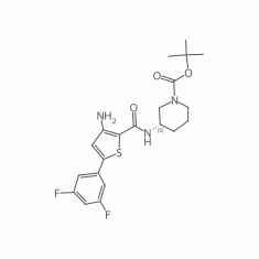 CC(C)(C)OC(=O)N1CCC[C@H](NC(=O)c2sc(-c3cc(F)cc(F)c3)cc2N)C1